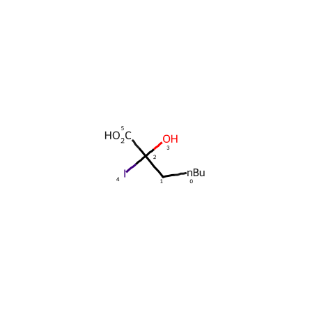 CCCCCC(O)(I)C(=O)O